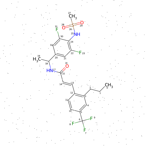 CCCc1cc(C(F)(F)F)ccc1C=CC(=O)NC(C)c1cc(F)c(NS(C)(=O)=O)c(F)c1